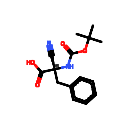 CC(C)(C)OC(=O)N[C@](C#N)(Cc1ccccc1)C(=O)O